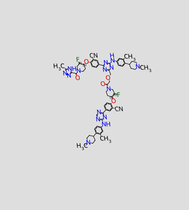 Cc1nnc(C(=O)N2CC[C@H](Oc3ccc(-c4nc(COCC(=O)N5CC[C@H](Oc6ccc(-c7ncnc(Nc8ccc(C9CCN(C)CC9)c(C)c8)n7)cc6C#N)[C@H](F)C5)nc(Nc5ccc(C6CCN(C)CC6)c(C)c5)n4)cc3C#N)[C@H](F)C2)[nH]1